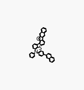 c1ccc(N(c2ccc(-c3ccc4ccccc4c3)cc2)c2cccc3c2sc2ccc4c5cc6ccccc6cc5oc4c23)cc1